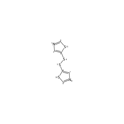 c1ncc(SSc2cncs2)s1